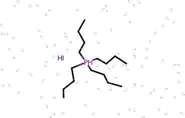 CCCC[PH](CCCC)(CCCC)CCCC.I